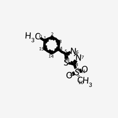 Cc1ccc(-c2nnc(S(C)(=O)=O)s2)cc1